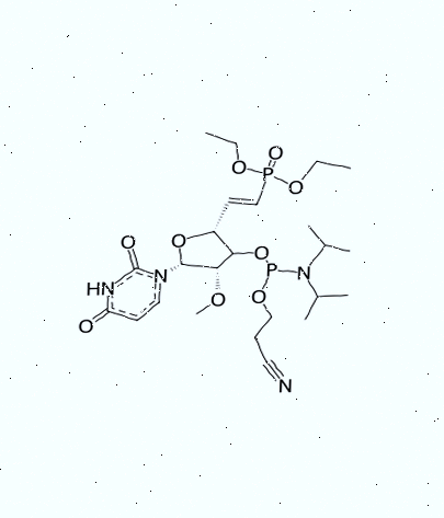 CCOP(=O)(/C=C/[C@H]1O[C@@H](n2ccc(=O)[nH]c2=O)[C@@H](OC)C1OP(OCCC#N)N(C(C)C)C(C)C)OCC